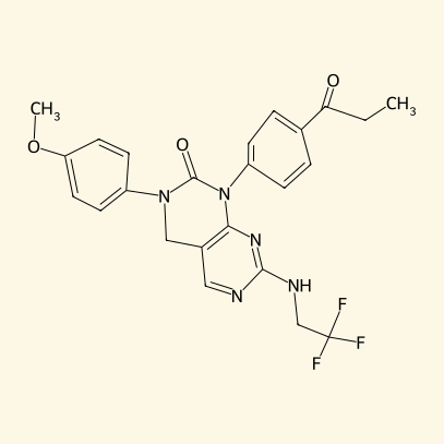 CCC(=O)c1ccc(N2C(=O)N(c3ccc(OC)cc3)Cc3cnc(NCC(F)(F)F)nc32)cc1